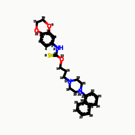 S=C(Nc1ccc2c(c1)OCCO2)OCCCN1CCN(c2cccc3ccccc23)CC1